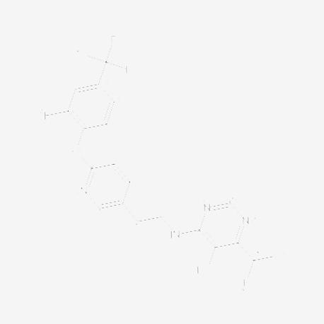 Cc1c(NCCc2ccc(Oc3ccc(C(F)(F)F)cc3Cl)nc2)ncnc1C(F)F